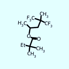 CCC(C)(C)C(=O)OC(C)CC(C)(C(F)(F)F)C(F)(F)F